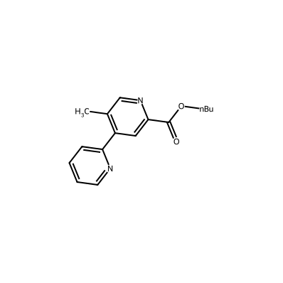 CCCCOC(=O)c1cc(-c2ccccn2)c(C)cn1